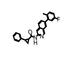 Cc1ccc(F)cc1-c1ccc2cc(NC(=O)C3CC3c3ccccc3)ncc2c1